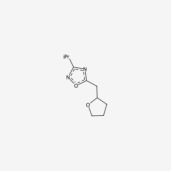 CC(C)c1noc(CC2CCCO2)n1